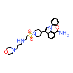 NC(=O)c1cccc2c(C3CCN(S(=O)(=O)CCNCCCN4CCOCC4)CC3)cn(-c3ccccc3)c12